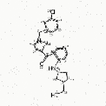 C[C@H]1C[C@H](Nc2ccncc2C(=O)c2ccn(Cc3cccc(Cl)c3)n2)C[C@@H]1CO